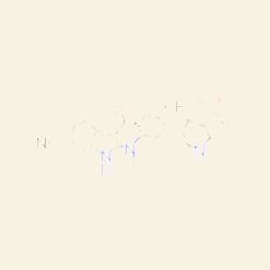 CCn1c2cc(-c3cncc(S(=O)(=O)F)c3)c(C(F)(F)F)cc2c(=O)c2c3ccc(C#N)cc3[nH]c21